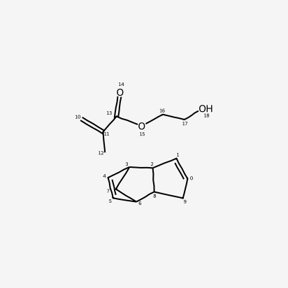 C1=CC2C3C=CC(C3)C2C1.C=C(C)C(=O)OCCO